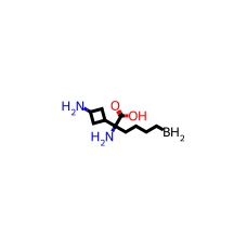 BCCCCC(N)(C(=O)O)C1CC(N)C1